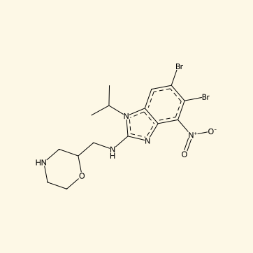 CC(C)n1c(NCC2CNCCO2)nc2c([N+](=O)[O-])c(Br)c(Br)cc21